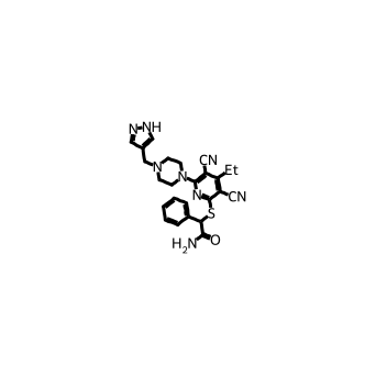 CCc1c(C#N)c(SC(C(N)=O)c2ccccc2)nc(N2CCN(Cc3cn[nH]c3)CC2)c1C#N